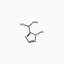 CNC(O)c1ncnn1C(C)C